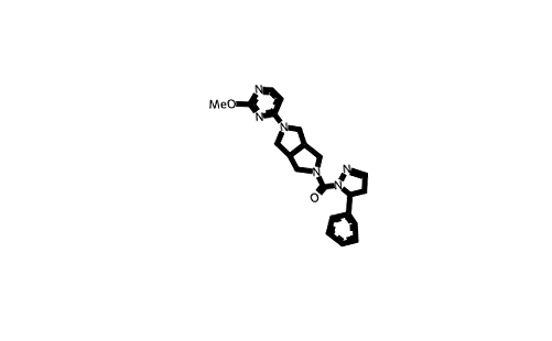 COc1nccc(N2CC3CN(C(=O)N4N=CCC4c4ccccc4)CC3C2)n1